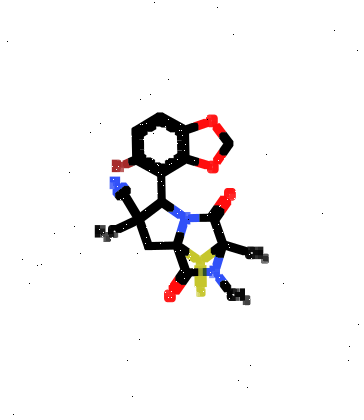 CN1C(=O)C23CC(C)(C#N)C(c4c(Br)ccc5c4OCO5)N2C(=O)C1(C)S3=S